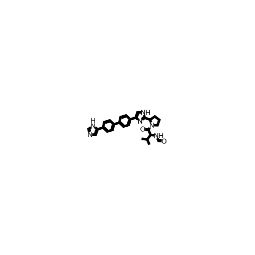 CC(C)C(NC=O)C(=O)N1CCCC1c1nc(-c2ccc(-c3ccc(-c4cnc[nH]4)cc3)cc2)c[nH]1